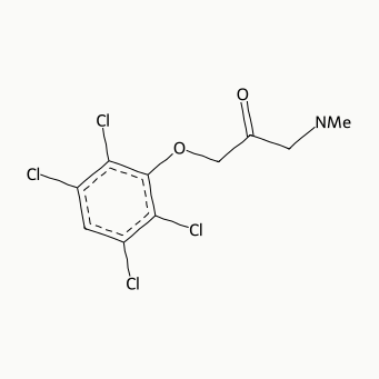 CNCC(=O)COc1c(Cl)c(Cl)cc(Cl)c1Cl